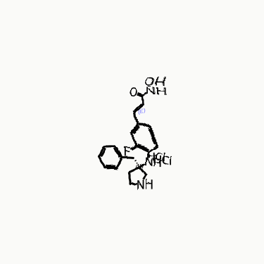 Cl.Cl.O=C(/C=C/c1ccc(N[C@]2(Cc3ccccc3)CCNC2)c(F)c1)NO